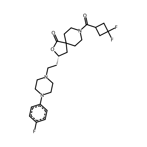 O=C(C1CC(F)(F)C1)N1CCC2(CC1)C[C@H](CCN1CCN(c3ccc(F)cc3)CC1)OC2=O